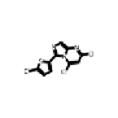 Clc1cc(Cl)n2c(-c3ccc(Cl)s3)ncc2n1